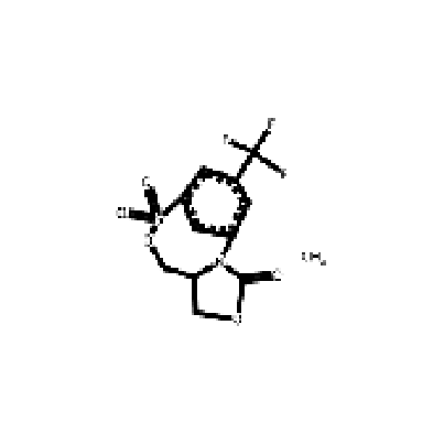 C.O=C1OCC2COS(=O)(=O)c3cc(cc(C(F)(F)F)c3)N12